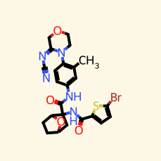 Cc1cc(NC(=O)C2(NC(=O)c3ccc(Br)s3)CC3CCC2O3)ccc1N1CCOC/C1=N/C#N